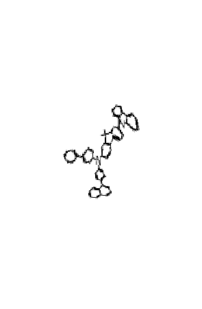 CC1(C)c2cc(N(c3ccc(-c4ccccc4)cc3)c3ccc(-c4cccc5ccccc45)cc3)ccc2-c2ccc(-n3c4ccccc4c4ccccc43)cc21